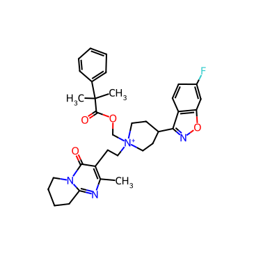 Cc1nc2n(c(=O)c1CC[N+]1(COC(=O)C(C)(C)c3ccccc3)CCC(c3noc4cc(F)ccc34)CC1)CCCC2